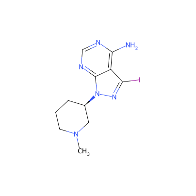 CN1CCC[C@@H](n2nc(I)c3c(N)ncnc32)C1